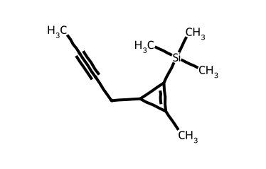 CC#CCC1C(C)=C1[Si](C)(C)C